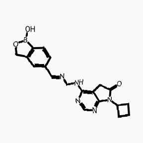 O=C1Cc2c(NC/N=C/c3ccc4c(c3)COB4O)ncnc2N1C1CCC1